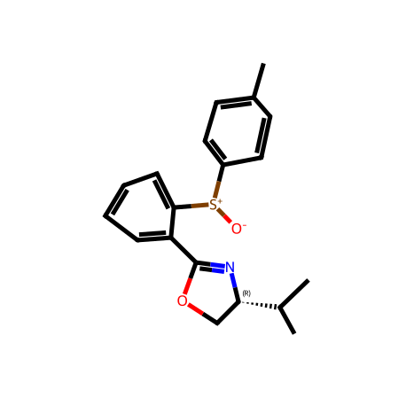 Cc1ccc([S+]([O-])c2ccccc2C2=N[C@H](C(C)C)CO2)cc1